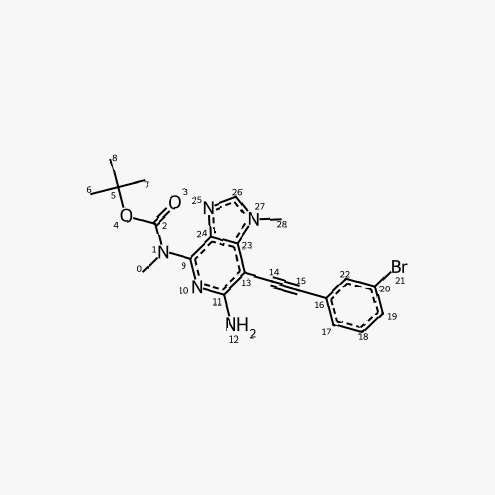 CN(C(=O)OC(C)(C)C)c1nc(N)c(C#Cc2cccc(Br)c2)c2c1ncn2C